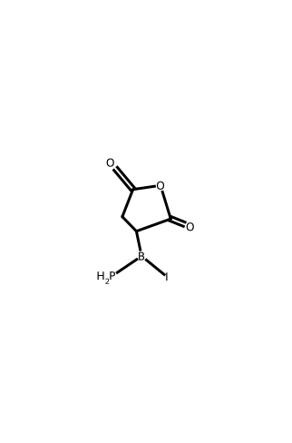 O=C1CC(B(P)I)C(=O)O1